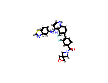 O=C(c1ccc(-c2ccc3nccc(Nc4ccc5scnc5c4)c3c2F)c(F)c1)N1CC2(COC2)C1